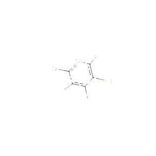 Nc1nc(F)c(Cl)c(Br)c1F